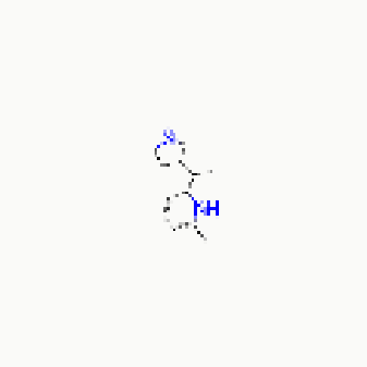 CC1=CC=CC(C(C)C2CCN(C)C2)N1